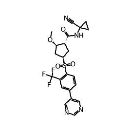 CO[C@@H]1C[C@H](S(=O)(=O)c2ccc(-c3cncnc3)cc2C(F)(F)F)C[C@H]1C(=O)NC1(C#N)CC1